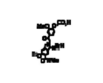 Br.CCOc1cc2c(cc1C(=O)NC)C(=N)N(CC(=O)c1ccc(OCC(=O)O)c(OC)c1)C2